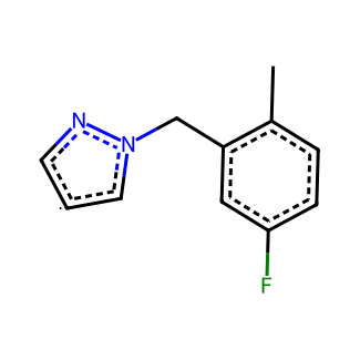 Cc1ccc(F)cc1Cn1c[c]cn1